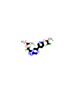 CC(C)OC(F)(F)c1nnc2cnc(-c3ccc(O[C@@H](C)C(F)F)nc3)cn12